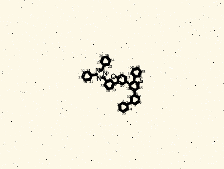 c1ccc(-c2cccc(-c3cc(-c4ccc5oc6c(-c7nc(-c8ccccc8)nc(-c8ccccc8)n7)cccc6c5c4)c4c(c3)sc3ccccc34)c2)cc1